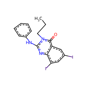 CCCn1c(Nc2ccccc2)nc2c(I)cc(I)cc2c1=O